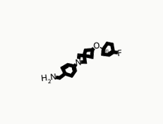 NCC1C=CC(N2CC3(CC(O[C@H]4CC=C(F)CC4)C3)C2)=CC1